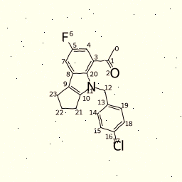 CC(=O)c1cc(F)cc2c3c(n(Cc4ccc(Cl)cc4)c12)CCC3